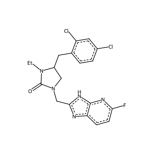 CCN1C(=O)N(Cc2nc3ccc(F)nc3[nH]2)CC1Cc1ccc(Cl)cc1Cl